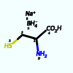 NC(CS)C(=O)O.[BH4-].[Na+]